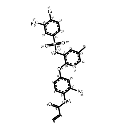 C=CC(=O)Nc1ccc(Oc2ncc(C)cc2NS(=O)(=O)c2ccc(Cl)c(C(F)(F)F)c2)cc1C(C)=O